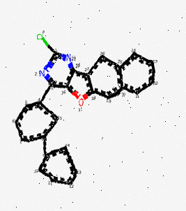 Clc1nc(-c2cccc(-c3ccccc3)c2)c2oc3cc4ccccc4cc3c2n1